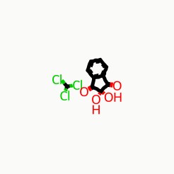 ClC(Cl)Cl.O=C1c2ccccc2C(=O)C1(O)O